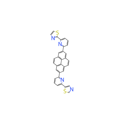 c1cc(-c2cc3ccc4cc(-c5cccc(-c6nccs6)n5)cc5ccc(c2)c3c45)nc(-c2cncs2)c1